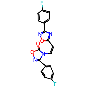 O=c1onc(-c2ccc(F)cc2)n1/C=C\c1nc(-c2ccc(F)cc2)no1